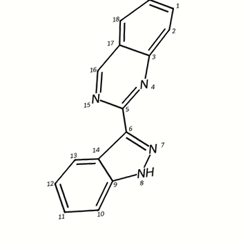 c1ccc2nc(-c3n[nH]c4ccccc34)ncc2c1